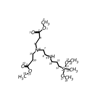 COC(=O)CCN(CCNCCC[Si](C)(OC)OC)CCC(=O)OC